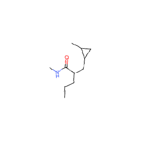 CCCC(CC1CC1C)C(=O)NC